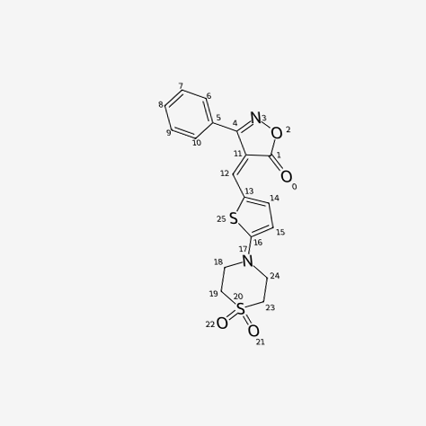 O=C1ON=C(c2ccccc2)C1=Cc1ccc(N2CCS(=O)(=O)CC2)s1